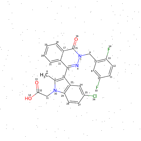 Cc1c(-c2nn(Cc3cc(F)ccc3F)c(=O)c3ccccc23)c2cc(Cl)ccc2n1CC(=O)O